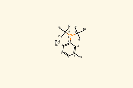 Cc1cccc(P(C(C)(C)C)C(C)(C)C)c1.[Pd]